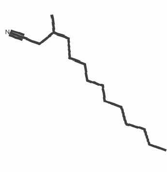 CCCCCCCCCCCC(C)CC#N